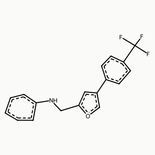 FC(F)(F)c1ccc(-c2coc(CNc3ccccc3)c2)cc1